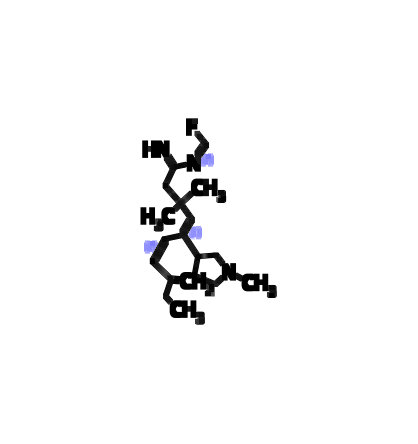 C=C(/C=C\C(=C/C(C)(C)CC(=N)/N=C\F)C1CCN(C)C1)CC